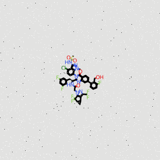 Cn1nc(NS(C)(=O)=O)c2c(Cl)ccc(-n3c([C@H](Cc4cc(F)cc(F)c4)NC(=O)Cn4nc(C(F)F)c5c4C(F)(F)C4CC54)nc4cc(-c5cccc(F)c5CO)ccc4c3=O)c21